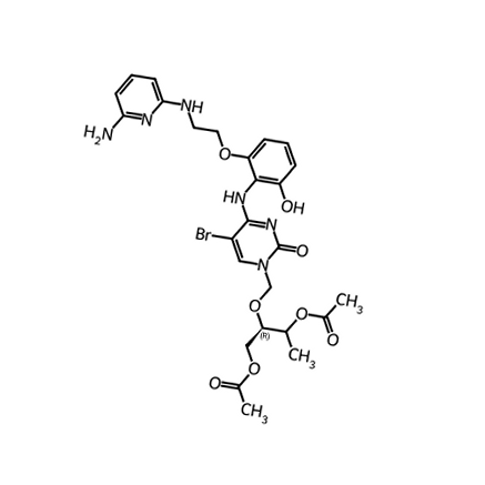 CC(=O)OC[C@@H](OCn1cc(Br)c(Nc2c(O)cccc2OCCNc2cccc(N)n2)nc1=O)C(C)OC(C)=O